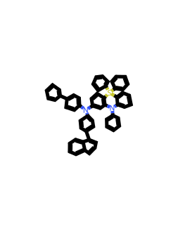 c1ccc(-c2ccc(N(c3ccc(-c4cccc5ccccc45)cc3)c3ccc4c(c3)N(c3ccccc3)c3ccccc3S4(c3ccccc3)c3ccccc3)cc2)cc1